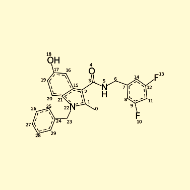 Cc1c(C(=O)NCc2cc(F)cc(F)c2)c2cc(O)ccc2n1Cc1ccccc1